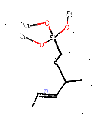 C/C=C/C(C)CC[Si](OCC)(OCC)OCC